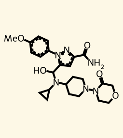 COc1ccc(-n2nc(C(N)=O)cc2C(O)N(C2CC2)C2CCN(N3CCOCC3=O)CC2)cc1